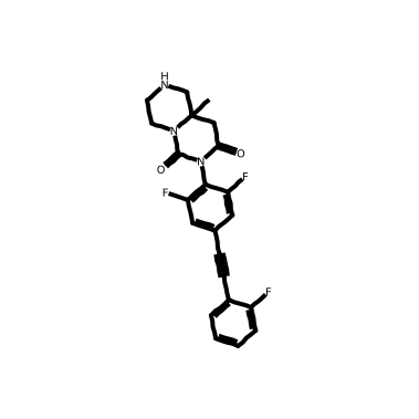 CC12CNCCN1C(=O)N(c1c(F)cc(C#Cc3ccccc3F)cc1F)C(=O)C2